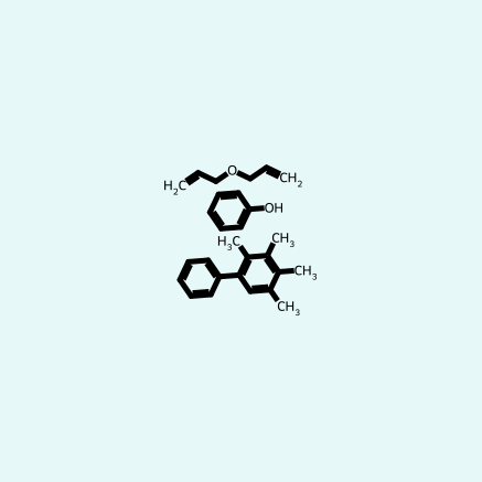 C=CCOCC=C.Cc1cc(-c2ccccc2)c(C)c(C)c1C.Oc1ccccc1